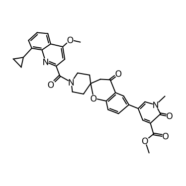 COC(=O)c1cc(-c2ccc3c(c2)C(=O)CC2(CCN(C(=O)c4cc(OC)c5cccc(C6CC6)c5n4)CC2)O3)cn(C)c1=O